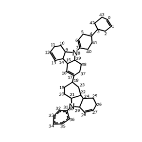 C1=CCC(C2CC=C(N3C4CCC=CC4C4C=C(C5CCC6C(C5)C5CCC=CC5N6c5ccccc5)CCC43)CC2)CC1